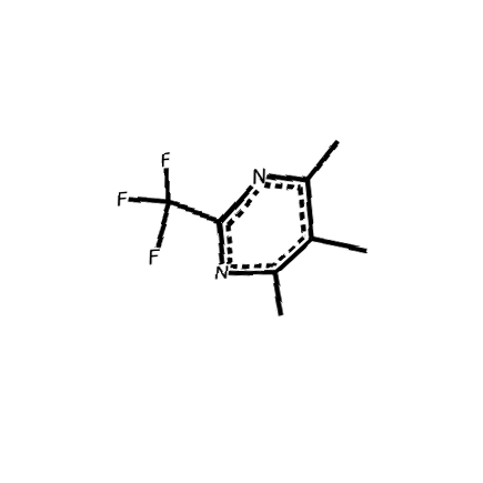 Cc1nc(C(F)(F)F)nc(C)c1C